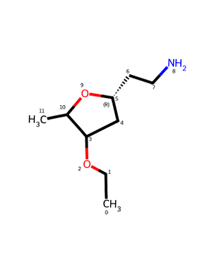 CCOC1C[C@@H](CCN)OC1C